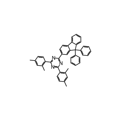 Cc1ccc(-c2nc(-c3ccc4c(c3)C(c3ccccc3)(c3ccccc3)c3ccccc3-4)nc(-c3ccc(C)cc3C)n2)c(C)c1